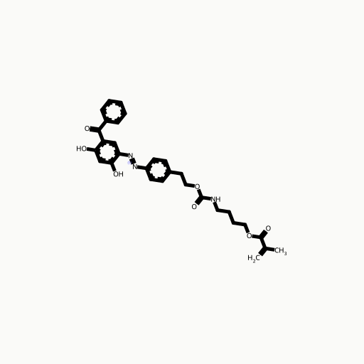 C=C(C)C(=O)OCCCCNC(=O)OCCc1ccc(/N=N/c2cc(C(=O)c3ccccc3)c(O)cc2O)cc1